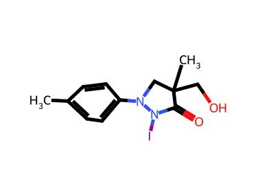 Cc1ccc(N2CC(C)(CO)C(=O)N2I)cc1